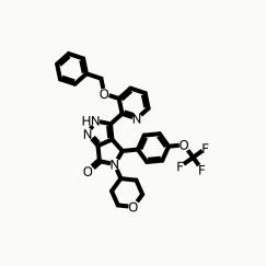 O=C1c2n[nH]c(-c3ncccc3OCc3ccccc3)c2C(c2ccc(OC(F)(F)F)cc2)N1C1CCOCC1